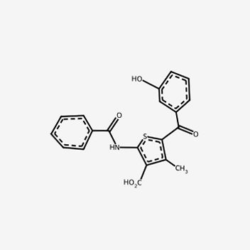 Cc1c(C(=O)c2cccc(O)c2)sc(NC(=O)c2ccccc2)c1C(=O)O